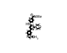 CNC(=O)c1ccc(Nc2cc(-c3ccc4ncn(C)c4c3)nc(N3CCOCC3)n2)cn1